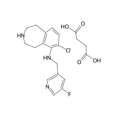 Fc1cncc(CNc2c(Cl)ccc3c2CCNCC3)c1.O=C(O)CCC(=O)O